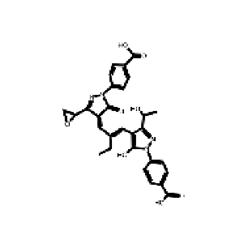 CCC(=Cc1c(C(C)O)nn(-c2ccc(C(=O)O)cc2)c1O)C=C1C(=O)N(c2ccc(C(=O)O)cc2)N=C1C1CO1